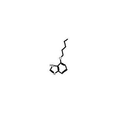 CCCCCOc1cc[c]c2nc[nH]c12